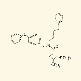 O=C(O)C1CC(C(=O)N(CCCCc2ccccc2)Cc2ccc(Oc3ccccc3)cc2)C1C(=O)O